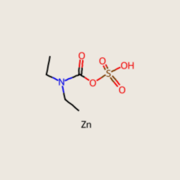 CCN(CC)C(=O)OS(=O)(=O)O.[Zn]